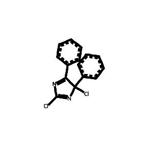 ClC1=NC(Cl)(c2ccccc2)C(c2ccccc2)=N1